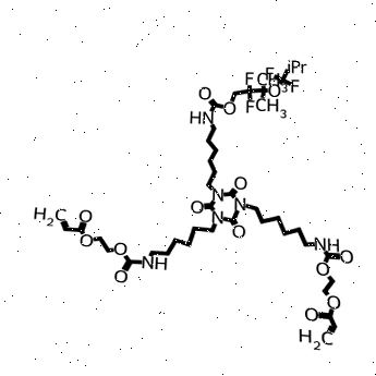 C=CC(=O)OCCOC(=O)NCCCCCCn1c(=O)n(CCCCCCNC(=O)OCCOC(=O)C=C)c(=O)n(CCCCCCNC(=O)OCC(F)(F)C(C)(C)OC(F)(F)C(C)C)c1=O